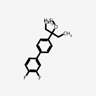 CCC(CC)(O[SiH3])c1ccc(-c2ccc(F)c(F)c2)cc1